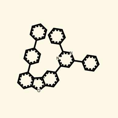 c1ccc(-c2ccc(-c3cccc4oc5ccc(-c6cc(-c7ccccc7)nc(-c7ccccc7)n6)cc5c34)cc2)cc1